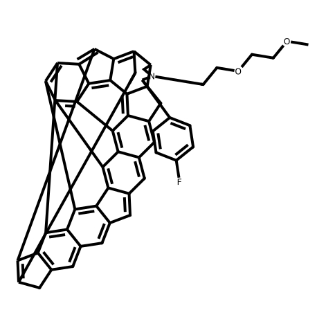 COCCOCCN1CC2C3=c4c5c6c7c(cc8cc9cc%10cc%11cc%12c%13c(c4c4c5c5c7c8c7c9c%10c8c%11c%13c4c8c75)=C(C3)C%12)CC62C1c1ccc(F)cc1